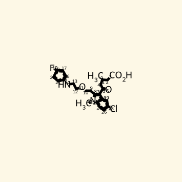 C[C@H](CC(=O)O)CC(=O)c1c(CCOCCNc2ccc(F)cc2)n(C)c2ccc(Cl)cc12